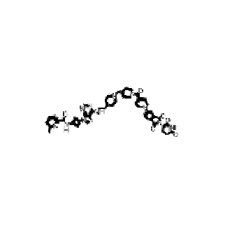 Cc1cccc(C(=O)NC2CC(n3cnc4c(NCCC5CCN(CC6CCN(C(=O)C7CCN(c8ccc9c(c8)C(=O)N([C@H]8CCC(=O)NC8=O)C9=O)CC7)CC6)CC5)ncnc43)C2)n1